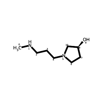 CNCCCN1CC[C@H](O)C1